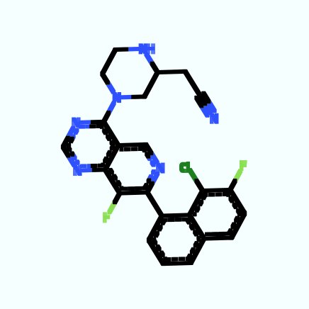 N#CCC1CN(c2ncnc3c(F)c(-c4cccc5ccc(F)c(Cl)c45)ncc23)CCN1